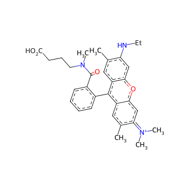 CCNc1cc2oc3cc(=[N+](C)C)c(C)cc-3c(-c3ccccc3C(=O)N(C)CCCC(=O)O)c2cc1C